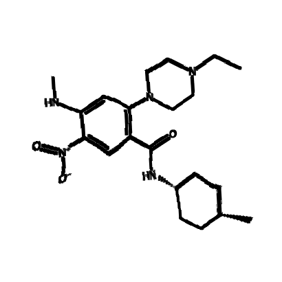 CCN1CCN(c2cc(NC)c([N+](=O)[O-])cc2C(=O)N[C@H]2CC[C@H](C)CC2)CC1